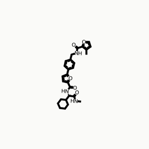 CNC(=O)[C@@H](NC(=O)c1ccc(-c2ccc(CNC(=O)c3occc3C)cc2)o1)C1CCCCC1